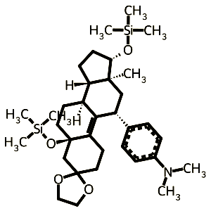 CN(C)c1ccc([C@H]2C[C@]3(C)[C@@H](O[Si](C)(C)C)CC[C@H]3[C@@H]3CC[C@@]4(O[Si](C)(C)C)CC5(CCC4=C32)OCCO5)cc1